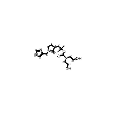 CC(C)(CC1CCN(Cc2c[nH]cn2)C1=O)OC(=O)N(CCO)CCO